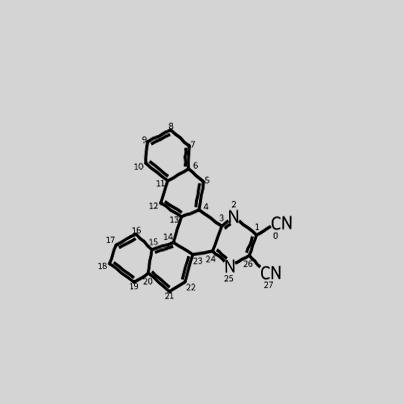 N#Cc1nc2c3cc4ccccc4cc3c3c4ccccc4ccc3c2nc1C#N